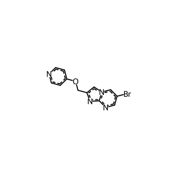 Brc1cnc2nc(COc3ccncc3)cn2c1